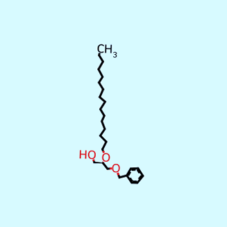 CCCCCCCCCCCCCCCCO[C@H](CO)COCc1ccccc1